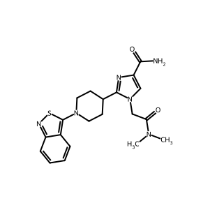 CN(C)C(=O)Cn1cc(C(N)=O)nc1C1CCN(c2snc3ccccc23)CC1